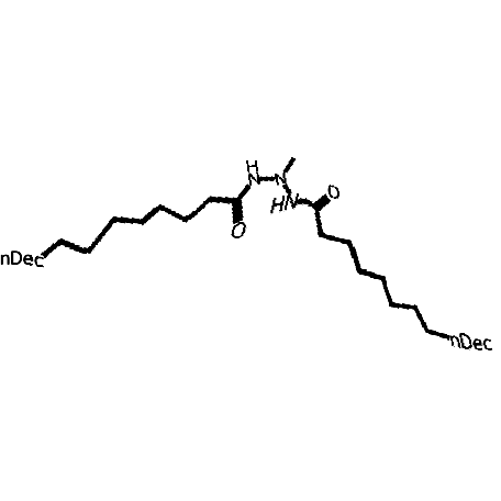 CCCCCCCCCCCCCCCCCC(=O)NN(C)NC(=O)CCCCCCCCCCCCCCCCC